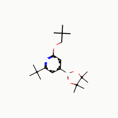 CC(C)(C)COc1cc(B2OC(C)(C)C(C)(C)O2)cc(C(C)(C)C)n1